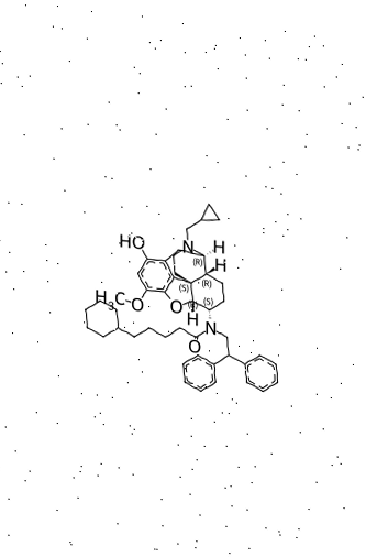 COc1cc(O)c2c3c1O[C@H]1[C@@H](N(CC(c4ccccc4)c4ccccc4)C(=O)CCCCC4CCCCC4)CC[C@H]4[C@@H](C2)N(CC2CC2)CC[C@@]341